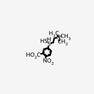 C[N+](C)(C)CC[SH](S)c1ccc([N+](=O)[O-])c(C(=O)O)c1